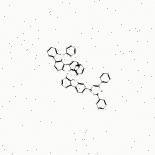 c1ccc(-c2cc(-c3ccc4c5cccc(-n6c7ccccc7c7c6ccc6c8ccccc8n(-c8ccccc8)c67)c5n(-c5ccccc5)c4c3)nc(-c3ccccc3)n2)cc1